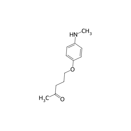 CNc1ccc(OCCCC(C)=O)cc1